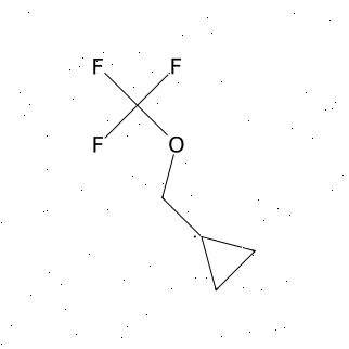 FC(F)(F)OC[C]1CC1